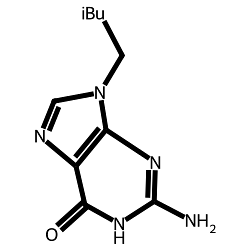 CCC(C)Cn1cnc2c(=O)[nH]c(N)nc21